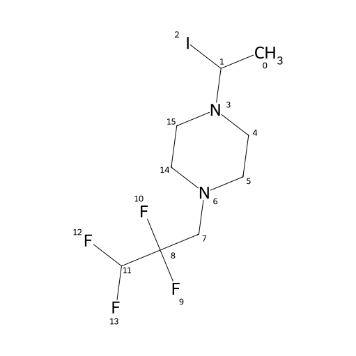 CC(I)N1CCN(CC(F)(F)C(F)F)CC1